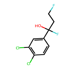 OC(F)(CCF)c1ccc(Cl)c(Cl)c1